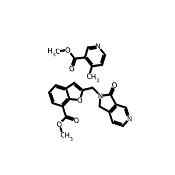 COC(=O)c1cccc2cc(CN3Cc4ccncc4C3=O)oc12.COC(=O)c1cnccc1C